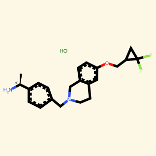 C[C@H](N)c1ccc(CN2CCc3cc(OCC4CC4(F)F)ccc3C2)cc1.Cl